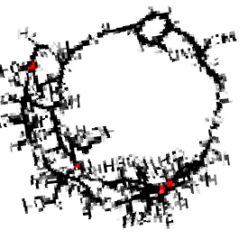 COc1cc2ccc1-c1ccc(cc1OC)CSC[C@H]1O[C@@H]3O[C@H]4C(O)C(O)[C@H](O[C@@H]4CO)O[C@H]4C(O)C(O)[C@H](O[C@@H]4CO)O[C@H]4C(O)C(O)[C@H](O[C@@H]4CO)O[C@H]4C(O)C(O)[C@H](O[C@@H]4CSC2)O[C@H]2C(O)C(O)[C@H](O[C@@H]2CO)O[C@H]2C(O)C(O)[C@H](O[C@@H]2CO)O[C@H]1C(O)C3O